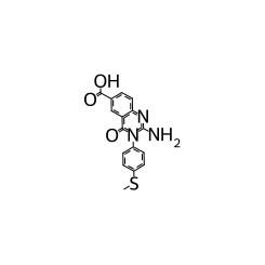 CSc1ccc(-n2c(N)nc3ccc(C(=O)O)cc3c2=O)cc1